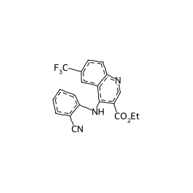 CCOC(=O)c1cnc2ccc(C(F)(F)F)cc2c1Nc1ccccc1C#N